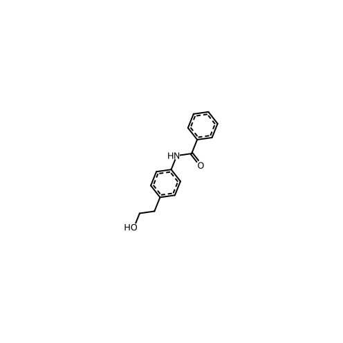 O=C(Nc1ccc(CCO)cc1)c1ccccc1